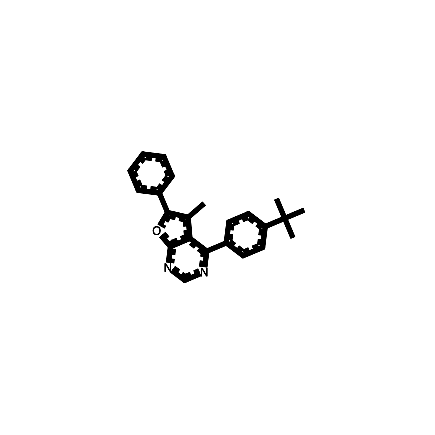 Cc1c(-c2ccccc2)oc2ncnc(-c3ccc(C(C)(C)C)cc3)c12